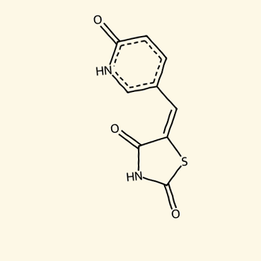 O=C1NC(=O)/C(=C\c2ccc(=O)[nH]c2)S1